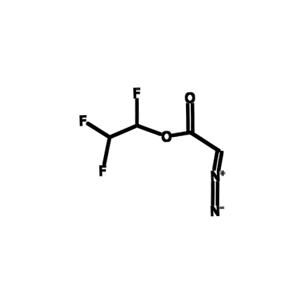 [N-]=[N+]=CC(=O)OC(F)C(F)F